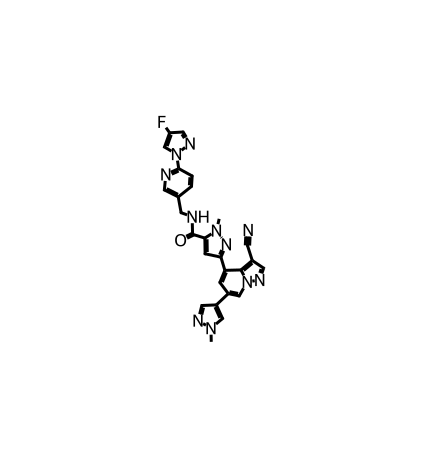 Cn1cc(-c2cc(-c3cc(C(=O)NCc4ccc(-n5cc(F)cn5)nc4)n(C)n3)c3c(C#N)cnn3c2)cn1